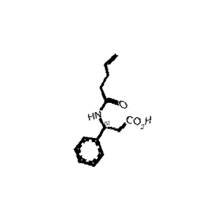 C=CCCC(=O)N[C@@H](CC(=O)O)c1ccccc1